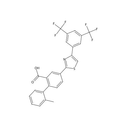 Cc1ccccc1-c1ccc(-c2nc(-c3cc(C(F)(F)F)cc(C(F)(F)F)c3)cs2)cc1C(=O)O